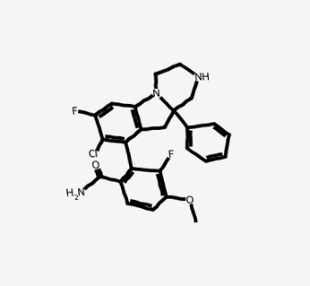 COc1ccc(C(N)=O)c(-c2c(Cl)c(F)cc3c2CC2(c4ccccc4)CNCCN32)c1F